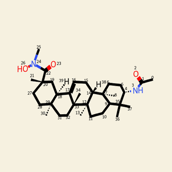 CC(=O)N[C@H]1CC[C@@]2(C)C(CC[C@]3(C)[C@@H]2CC=C2[C@@H]4C[C@@](C)(C(=O)N(C)O)CC[C@]4(C)CC[C@]23C)C1(C)C